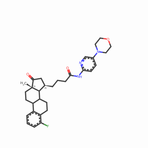 C[C@]12CCC3c4cccc(F)c4CCC3C1[C@H](CCCC(=O)Nc1ccc(N3CCOCC3)cn1)CC2=O